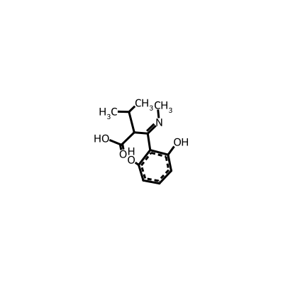 C/N=C(/c1c(O)cccc1O)C(C(=O)O)C(C)C